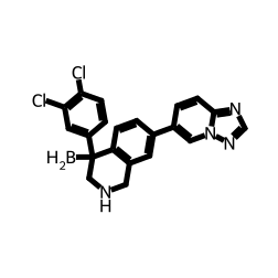 BC1(c2ccc(Cl)c(Cl)c2)CNCc2cc(-c3ccc4ncnn4c3)ccc21